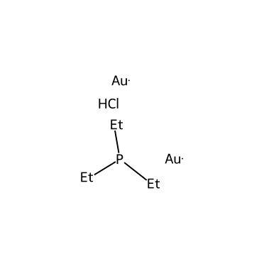 CCP(CC)CC.Cl.[Au].[Au]